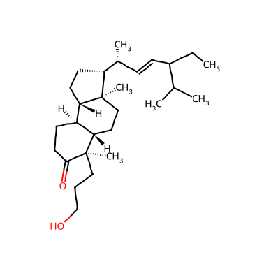 CCC(C=C[C@@H](C)[C@H]1CC[C@H]2[C@@H]3CCC(=O)[C@](C)(CCCO)[C@H]3CC[C@]12C)C(C)C